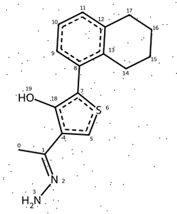 CC(=NN)c1csc(-c2cccc3c2CCCC3)c1O